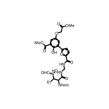 CCCCCC(C(=O)NCNC(=O)c1ccc(-c2cc(OCC(=O)OC)cc(C(=O)OC)c2O)o1)C(CC)N(O)C=O